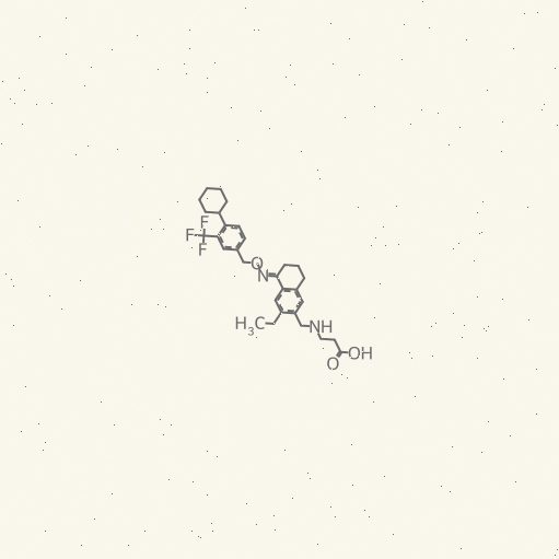 CCc1cc2c(cc1CNCCC(=O)O)CCCC2=NOCc1ccc(C2CCCCC2)c(C(F)(F)F)c1